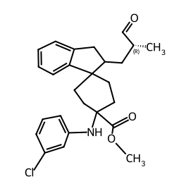 COC(=O)C1(Nc2cccc(Cl)c2)CCC2(CC1)c1ccccc1CC2C[C@@H](C)C=O